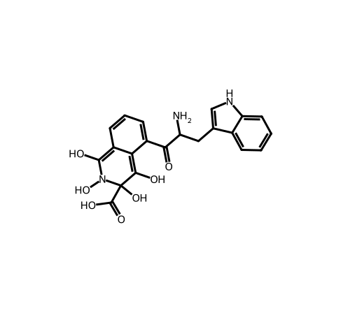 NC(Cc1c[nH]c2ccccc12)C(=O)c1cccc2c1=C(O)C(O)(C(=O)O)N(O)C=2O